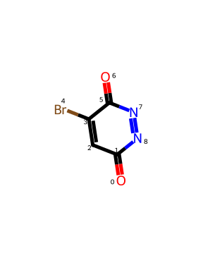 O=C1C=C(Br)C(=O)N=N1